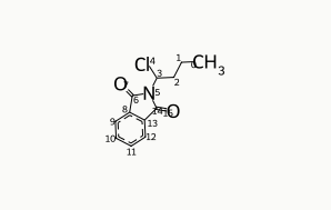 CCCC(Cl)N1C(=O)c2ccccc2C1=O